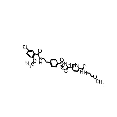 COCCNC(=O)c1ccc(C(=O)NS(=O)(=O)c2ccc(CCNC(=O)c3cc(Cl)ccc3OC)cc2)cn1